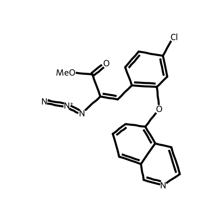 COC(=O)/C(=C\c1ccc(Cl)cc1Oc1cccc2cnccc12)N=[N+]=[N-]